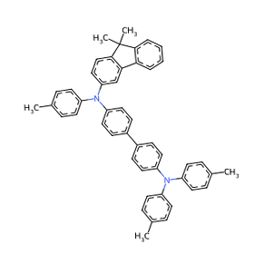 Cc1ccc(N(c2ccc(C)cc2)c2ccc(-c3ccc(N(c4ccc(C)cc4)c4ccc5c(c4)-c4ccccc4C5(C)C)cc3)cc2)cc1